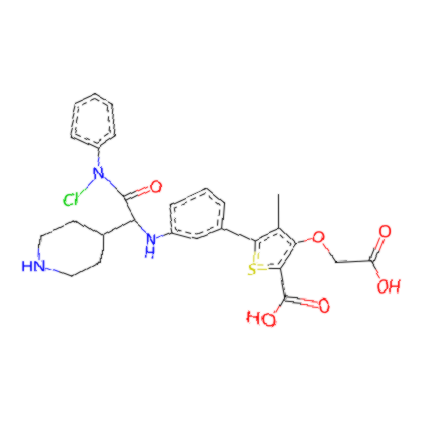 Cc1c(-c2cccc(NC(C(=O)N(Cl)c3ccccc3)C3CCNCC3)c2)sc(C(=O)O)c1OCC(=O)O